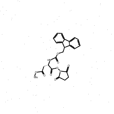 CC(C)(C)OC(=O)C[C@H](NC(=O)OCC1c2ccccc2-c2ccccc21)C(=O)ON1C(=O)CCC1=O